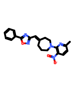 Cc1ccc([N+](=O)[O-])c(N2CCC/C(=C\c3noc(-c4ccccc4)n3)CC2)n1